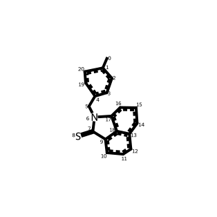 Cc1ccc(CN2C(=S)c3cccc4cccc2c34)cc1